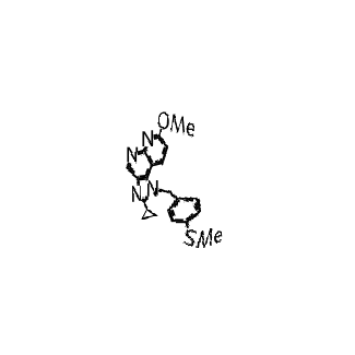 COc1ccc2c(ncc3nc(C4CC4)n(Cc4ccc(SC)cc4)c32)n1